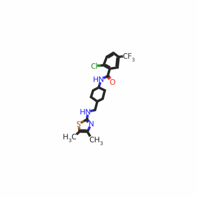 Cc1nc(NCC2CCC(NC(=O)c3cc(C(F)(F)F)ccc3Cl)CC2)sc1C